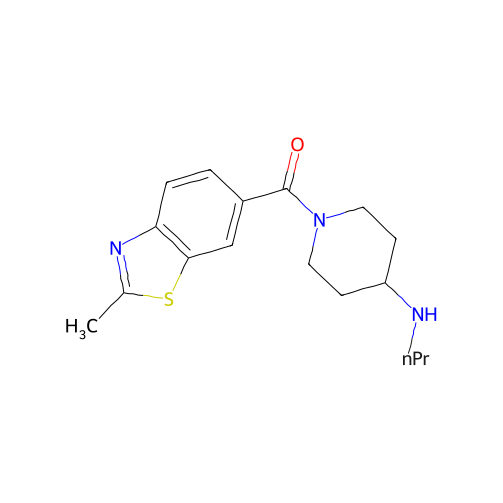 CCCNC1CCN(C(=O)c2ccc3nc(C)sc3c2)CC1